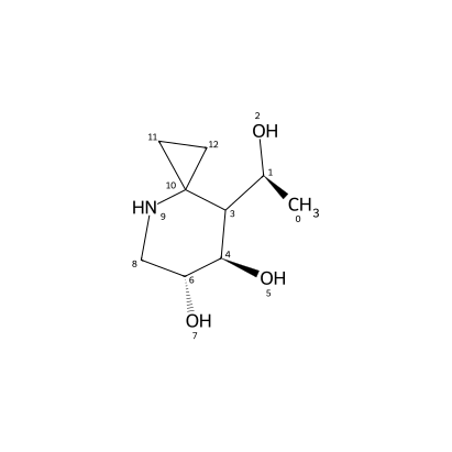 C[C@H](O)C1[C@@H](O)[C@H](O)CNC12CC2